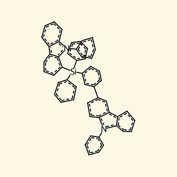 c1ccc(-n2c3ccccc3c3cc(-c4cccc([Si](c5ccccc5)(c5ccccc5)c5cccc6c7ccccc7n(-c7ccccc7)c56)c4)ccc32)cc1